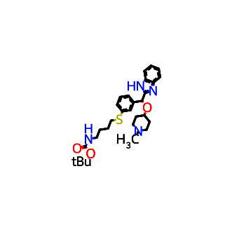 CN1CCC(OC(c2cccc(SCCCCNC(=O)OC(C)(C)C)c2)c2nc3ccccc3[nH]2)CC1